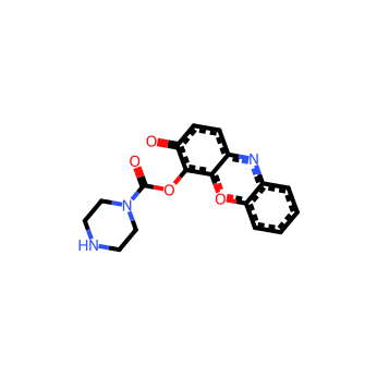 O=C(Oc1c2oc3ccccc3nc-2ccc1=O)N1CCNCC1